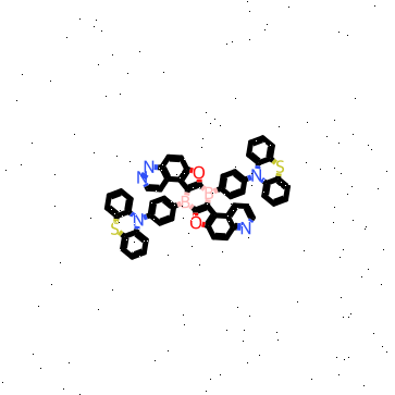 c1ccc2c(c1)Sc1ccccc1N2c1ccc(B2c3oc4ccc5ncccc5c4c3B(c3ccc(N4c5ccccc5Sc5ccccc54)cc3)c3oc4ccc5nnccc5c4c32)cc1